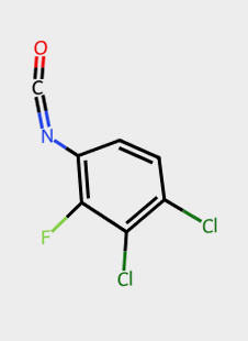 O=C=Nc1ccc(Cl)c(Cl)c1F